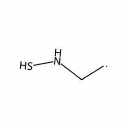 [CH2]CNS